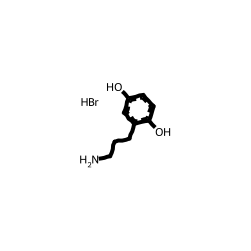 Br.NCCCc1cc(O)ccc1O